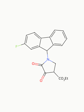 CCOC(=O)C1CN(C2c3ccccc3-c3ccc(F)cc32)C(=O)C1=O